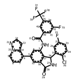 O=C(Nc1cc(-c2cccn3nccc23)cc2c1C(c1cc(F)ccc1Cl)NC2=O)c1cc(F)cc(C(F)(F)F)c1